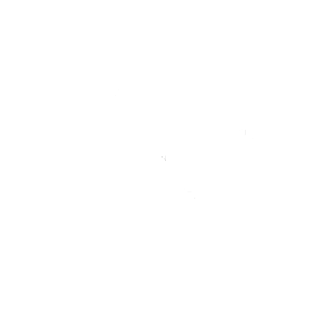 C=C/C=C\C(=C/C=C)CN(C=C)C/C(C=C)=C/C=C\C